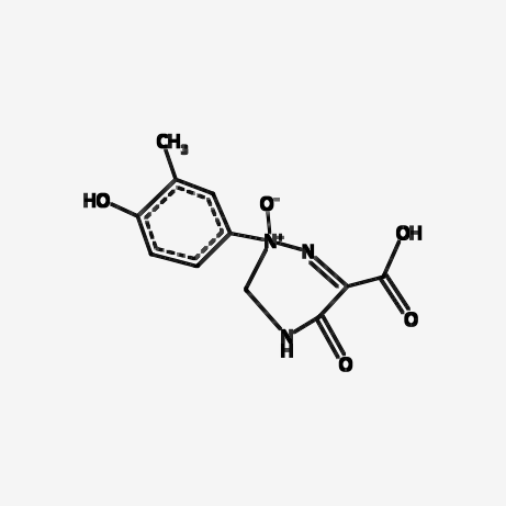 Cc1cc([N+]2([O-])CNC(=O)C(C(=O)O)=N2)ccc1O